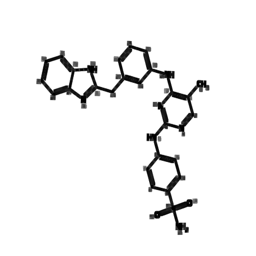 Cc1cnc(Nc2ccc(S(N)(=O)=O)cc2)nc1Nc1cccc(Cc2nc3ccccc3[nH]2)c1